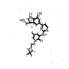 Cc1cc(Nc2nccc(-c3cc(C#N)c4c(c3)[C@@](C)(CO)CN4)n2)c(=O)n(CCN2CC(F)(F)C2)c1